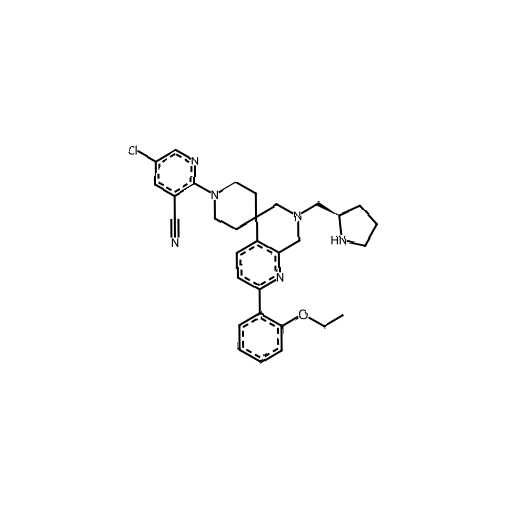 CCOc1ccccc1-c1ccc2c(n1)CN(C[C@H]1CCCN1)CC21CCN(c2ncc(Cl)cc2C#N)CC1